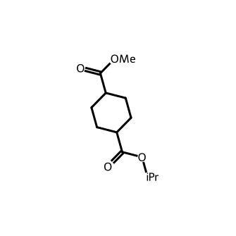 COC(=O)C1CCC(C(=O)OC(C)C)CC1